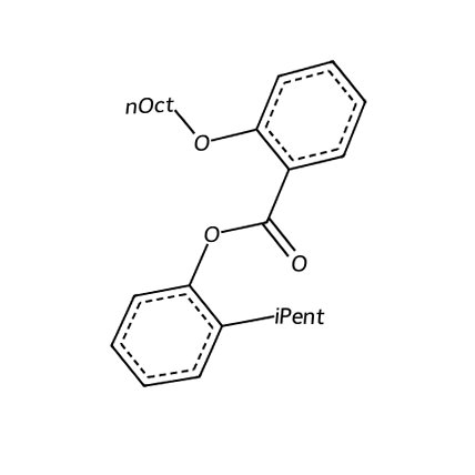 CCCCCCCCOc1ccccc1C(=O)Oc1ccccc1C(C)CCC